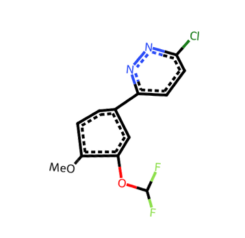 COc1ccc(-c2ccc(Cl)nn2)cc1OC(F)F